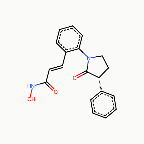 O=C(/C=C/c1ccccc1N1CC[C@H](c2ccccc2)C1=O)NO